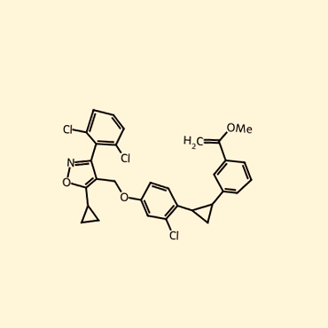 C=C(OC)c1cccc(C2CC2c2ccc(OCc3c(-c4c(Cl)cccc4Cl)noc3C3CC3)cc2Cl)c1